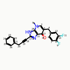 Cn1cc(Cc2ccc(F)c(F)c2)c(=O)c2nc(C#CCc3ccccc3)[nH]c21